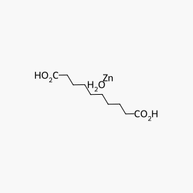 O.O=C(O)CCCCCCCCC(=O)O.[Zn]